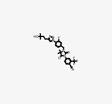 CC(C)(O)CCc1cn(-c2ccc(CN3C(=S)N(c4ccc(C#N)c(C(F)(F)F)c4)C(=O)C3(C)C)cc2F)nn1